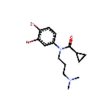 CN(C)CCCN(C(=O)C1CC1)c1ccc(Br)c(Br)c1